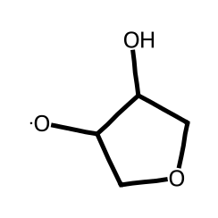 [O]C1COCC1O